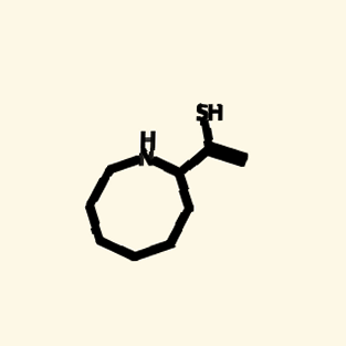 C=C(S)C1CCCCCCN1